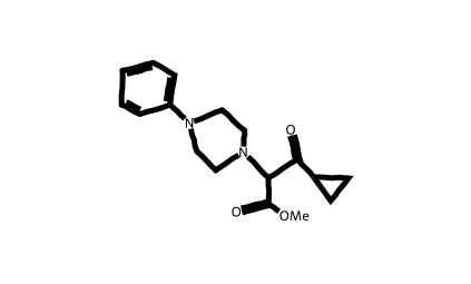 COC(=O)C(C(=O)C1CC1)N1CCN(c2ccccc2)CC1